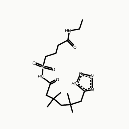 CCNC(=O)CCCS(=O)(=O)NC(=O)CC(C)(C)CC(C)(C)Cc1nnn[nH]1